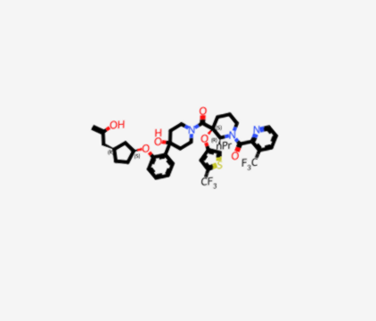 C=C(O)C[C@@H]1CC[C@H](Oc2ccccc2C2(O)CCN(C(=O)[C@]3(Oc4csc(C(F)(F)F)c4)CCCN(C(=O)c4ncccc4C(F)(F)F)[C@@H]3CCC)CC2)C1